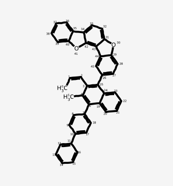 C/C=C\c1c(C)c(-c2ccc(-c3ccccc3)cc2)c2ccccc2c1-c1ccc2oc3ccc4c5ccccc5oc4c3c2c1